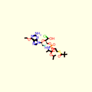 CCOc1nc(N)nc2c1ncn2[C@@H](CF)O[C@H](COP(=O)(NC(C)C(=O)OC(C)C)OCCSC(=O)C(C)(C)C)[C@@H](O)Cl